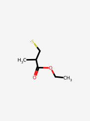 CCOC(=O)C(C)C[S]